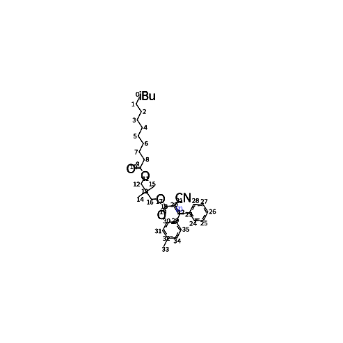 CCC(C)CCCCCCCCC(=O)OCC(C)(C)COC(=O)/C(C#N)=C(/c1ccccc1)c1ccc(C)cc1